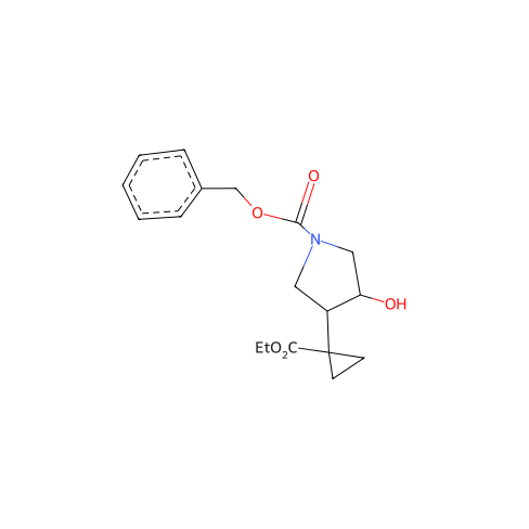 CCOC(=O)C1(C2CN(C(=O)OCc3ccccc3)CC2O)CC1